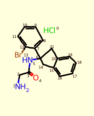 Cl.NCC(=O)NC1(c2ccccc2Br)Cc2ccccc2C1